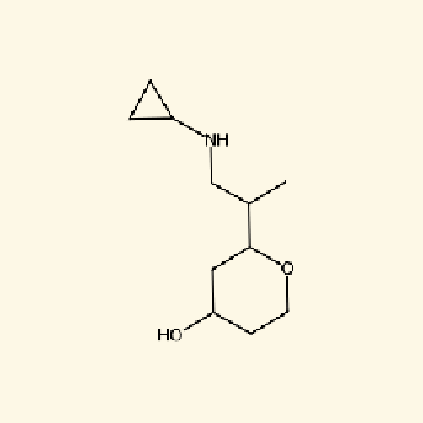 CC(CNC1CC1)C1CC(O)CCO1